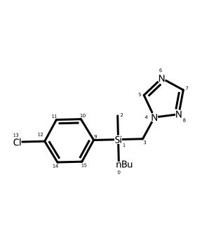 CCCC[Si](C)(Cn1cncn1)c1ccc(Cl)cc1